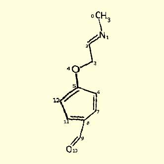 C/N=C/COc1ccc(C=O)cc1